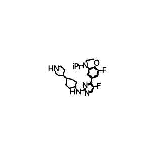 CC(C)N1CCOc2c(F)cc(-c3nc(NC4CCC(C5CCNCC5)CC4)ncc3F)cc21